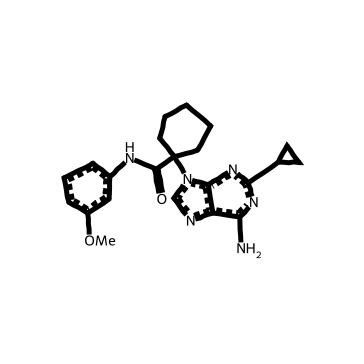 COc1cccc(NC(=O)C2(n3cnc4c(N)nc(C5CC5)nc43)CCCCC2)c1